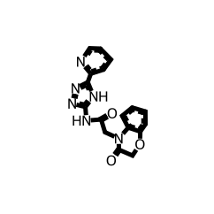 O=C(CN1C(=O)COc2ccccc21)Nc1nnc(-c2ccccn2)[nH]1